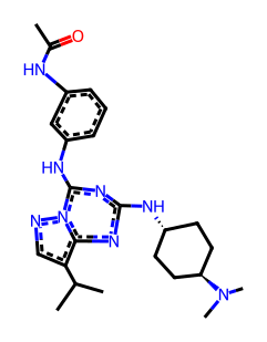 CC(=O)Nc1cccc(Nc2nc(N[C@H]3CC[C@H](N(C)C)CC3)nc3c(C(C)C)cnn23)c1